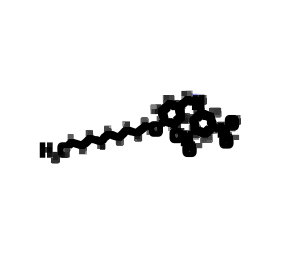 CCCCCCCCCCOc1ccc(/C=N\c2cc([N+](=O)[O-])cc([N+](=O)[O-])c2)cc1